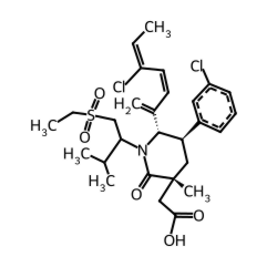 C=C(/C=C\C(Cl)=C/C)[C@@H]1[C@@H](c2cccc(Cl)c2)C[C@](C)(CC(=O)O)C(=O)N1C(CS(=O)(=O)CC)C(C)C